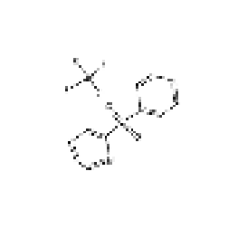 F[B-](F)(F)F.O=S(=O)(c1ccccc1)c1ccccn1